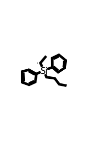 C[CH][Si](CCCC)(c1ccccc1)c1ccccc1